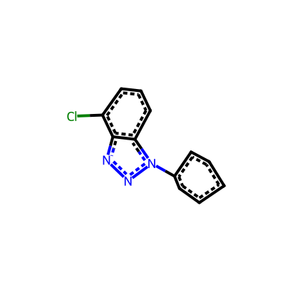 Clc1cccc2c1nnn2-c1ccccc1